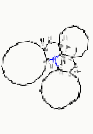 B1[C@@H]2CCCCCCCCCCCC[C@@H]2N2[C@@H]3[C@H](B[C@H]4CCCCCCCCCC[C@H]42)CCCCCCC[C@H]13